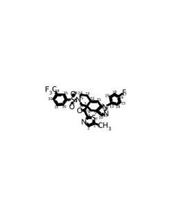 Cc1cnc(C(=O)C23Cc4cnn(-c5ccc(F)cc5)c4C=C2CCN(S(=O)(=O)c2cccc(C(F)(F)F)c2)C3)s1